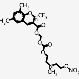 Cc1cc(C)c2c(c1)C=C(C(=O)OCOC(=O)OCCN(C)CCO[N+](=O)[O-])[C@@H](C(F)(F)F)O2